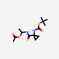 CC(=O)OC(C)NC(=O)C1(NC(=O)OC(C)(C)C)CC1